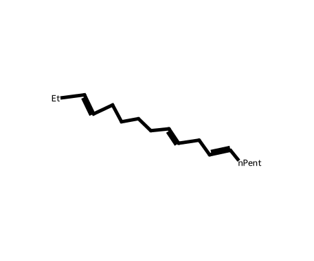 [CH2]CC=CCCCCC=CCC=CCCCCC